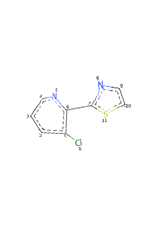 Clc1cccnc1-c1nc[c]s1